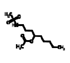 CCCCCC(CCCNS(C)(=O)=O)OC(C)=O